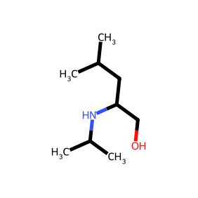 CC(C)CC(CO)NC(C)C